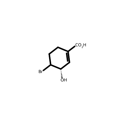 O=C(O)C1=C[C@H](O)C(Br)CC1